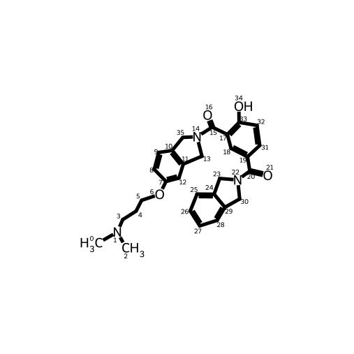 CN(C)CCCOc1ccc2c(c1)CN(C(=O)c1cc(C(=O)N3Cc4ccccc4C3)ccc1O)C2